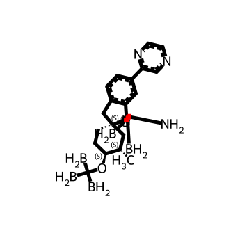 BC(B)(B)O[C@H]1CC[C@@]2(Cc3ccc(-c4cnccn4)cc3[C@]23N=C(N)OC3(B)B)C[C@@H]1C